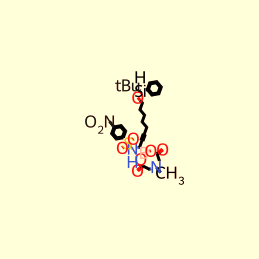 CN1CC(=O)OB(C(C#CCCCCCO[SiH](c2ccccc2)C(C)(C)C)NS(=O)(=O)c2ccc([N+](=O)[O-])cc2)OC(=O)C1